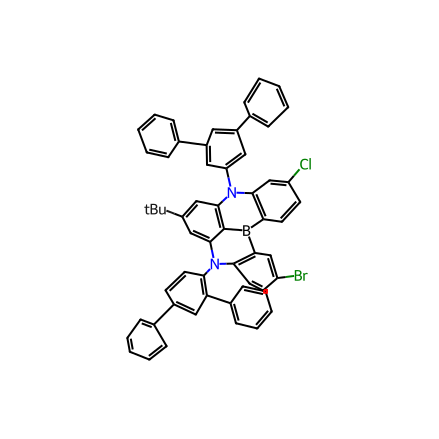 CC(C)(C)c1cc2c3c(c1)N(c1ccc(-c4ccccc4)cc1-c1ccccc1)c1ccc(Br)cc1B3c1ccc(Cl)cc1N2c1cc(-c2ccccc2)cc(-c2ccccc2)c1